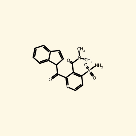 CN(C)C(=O)c1c(S(N)(=O)=O)ccnc1C(=O)C1C=Cc2ccccc21